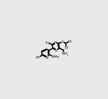 CCc1nc(OC(CC)CC)c(CN)nc1-c1ccc(C(C)C)nc1NC